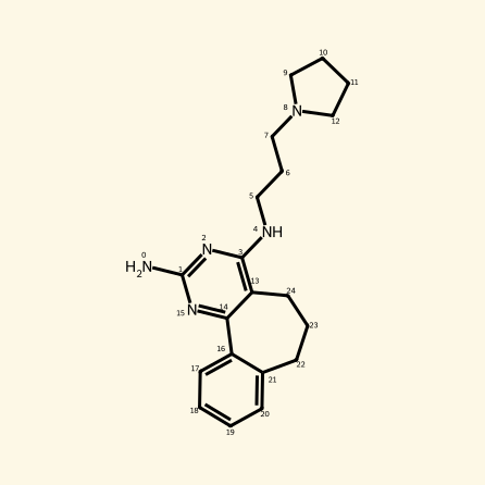 Nc1nc(NCCCN2CCCC2)c2c(n1)-c1ccccc1CCC2